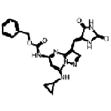 O=C1NC(=O)/C(=C/c2cnn3c(NC4CC4)cc(NC(=O)OCc4ccccc4)nc23)N1